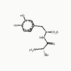 CCC(C)[C@H](N)C(=O)N[C@@H](Cc1ccc(O)c(O)c1)C(=O)O